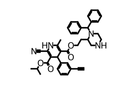 C#Cc1cccc(C2C(C(=O)OCCC3CNCCN3C(c3ccccc3)c3ccccc3)=C(C)NC(C#N)=C2C(=O)OC(C)C)c1